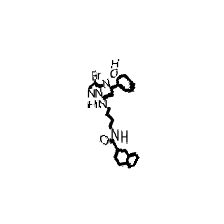 O=C(NCCCCNc1cc(-c2ccccc2O)nc2c(Br)cnn12)C1CCc2ccccc2C1